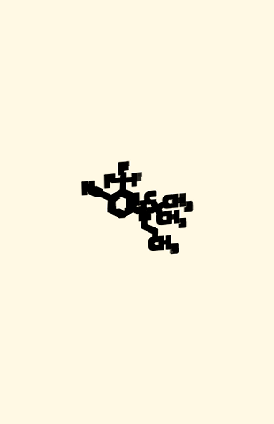 CCCN(c1ccc(C#N)c(C(F)(F)F)c1)C(C)(C)C